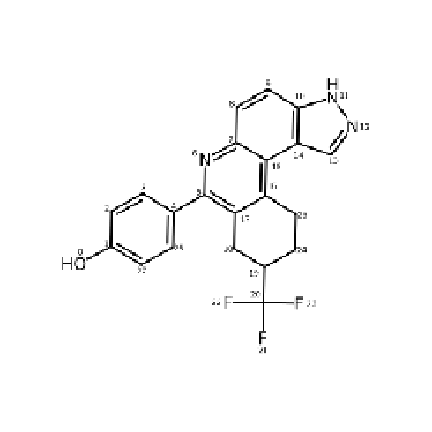 Oc1ccc(-c2nc3ccc4[nH]ncc4c3c3c2CC(C(F)(F)F)CC3)cc1